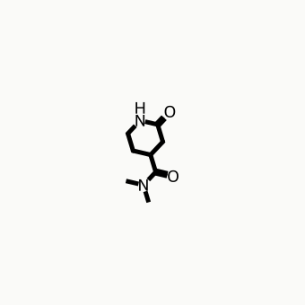 CN(C)C(=O)C1CCNC(=O)C1